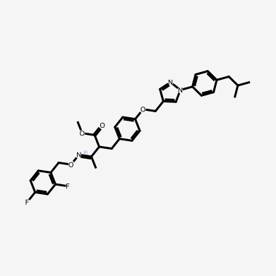 COC(=O)C(Cc1ccc(OCc2cnn(-c3ccc(CC(C)C)cc3)c2)cc1)/C(C)=N/OCc1ccc(F)cc1F